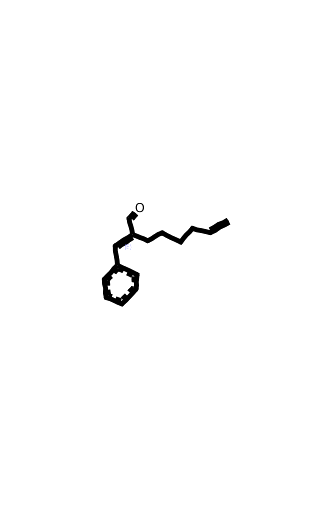 C=CCCCC/C(C=O)=C\c1ccccc1